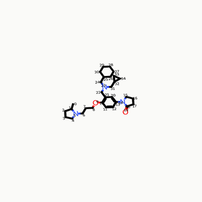 CC1CCCN1CCCOc1ccc(N2CCCC2=O)cc1CN(CC1CCCCC1)CC1CC1